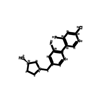 O[C@H]1CCN(Cc2cnc(-c3cnc(Cl)cc3F)c(F)c2)C1